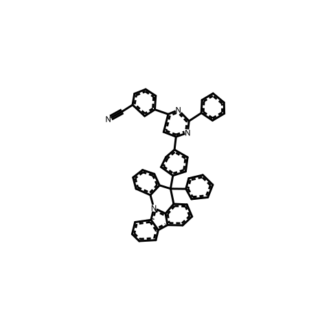 N#Cc1cccc(-c2cc(-c3ccc(C4(c5ccccc5)c5ccccc5-n5c6ccccc6c6cccc4c65)cc3)nc(-c3ccccc3)n2)c1